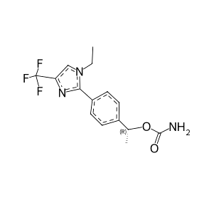 CCn1cc(C(F)(F)F)nc1-c1ccc([C@@H](C)OC(N)=O)cc1